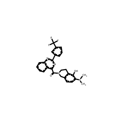 CN(C)c1ccc2c(c1O)CCN(C(=O)c1nc(-c3cccc(C(F)(F)F)c3)nc3ccccc13)C2